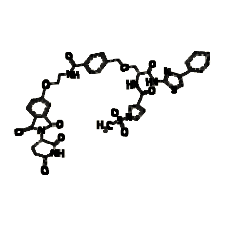 CS(=O)(=O)n1ccc(C(=O)NC(COCc2ccc(C(=O)NCCOc3ccc4c(c3)C(=O)N(C3CCC(=O)NC3=O)C4=O)cc2)C(=O)Nc2nc(-c3ccccc3)cs2)c1